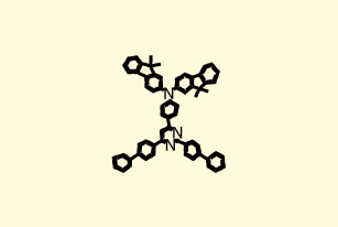 CC1(C)c2ccccc2-c2ccc(N(c3ccc(-c4cc(-c5ccc(-c6ccccc6)cc5)nc(-c5ccc(-c6ccccc6)cc5)n4)cc3)c3ccc4c(c3)C(C)(C)c3ccccc3-4)cc21